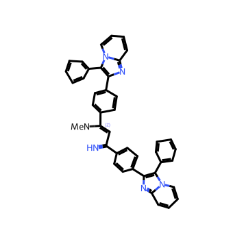 CN/C(=C\C(=N)c1ccc(-c2nc3ccccn3c2-c2ccccc2)cc1)c1ccc(-c2nc3ccccn3c2-c2ccccc2)cc1